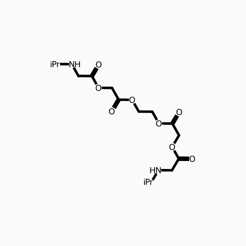 CC(C)NCC(=O)OCC(=O)OCCOC(=O)COC(=O)CNC(C)C